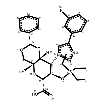 CC[Si](CC)(CC)O[C@@H]1[C@@H](n2cc(-c3cccc(F)c3)nn2)[C@H]2O[C@@H](c3ccccc3)OC[C@H]2O[C@H]1C(=O)O